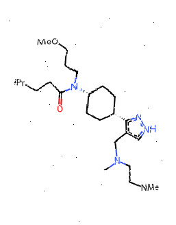 CNCCN(C)Cc1c[nH]nc1[C@H]1CC[C@@H](N(CCCOC)C(=O)CCC(C)C)CC1